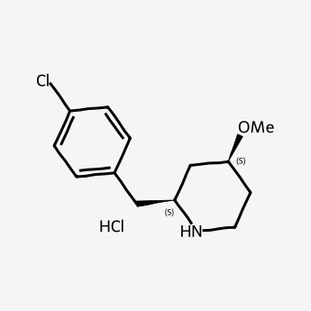 CO[C@H]1CCN[C@@H](Cc2ccc(Cl)cc2)C1.Cl